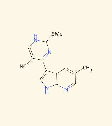 CSC1N=C(c2c[nH]c3ncc(C)cc23)C(C#N)=CN1